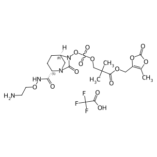 Cc1oc(=O)oc1COC(=O)C(C)(C)COS(=O)(=O)ON1C(=O)N2C[C@H]1CC[C@H]2C(=O)NOCCN.O=C(O)C(F)(F)F